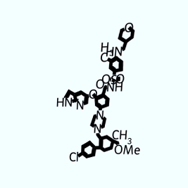 COCC1(C)CCC(c2ccc(Cl)cc2)=C(CN2CCN(c3ccc(C(=O)NS(=O)(=O)c4ccc(NCC5CCOCC5)c(C)c4)c(Oc4cnc5[nH]ccc5c4)c3)CC2)C1